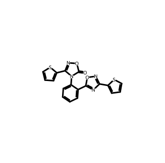 O=c1onc(-c2cccs2)n1-c1ccccc1-c1nc(-c2cccs2)no1